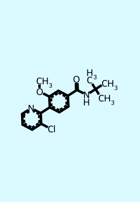 COc1cc(C(=O)NC(C)(C)C)ccc1-c1ncccc1Cl